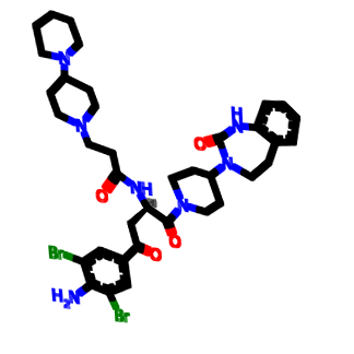 Nc1c(Br)cc(C(=O)C[C@@H](NC(=O)CCN2CCC(N3CCCCC3)CC2)C(=O)N2CCC(N3CCc4ccccc4NC3=O)CC2)cc1Br